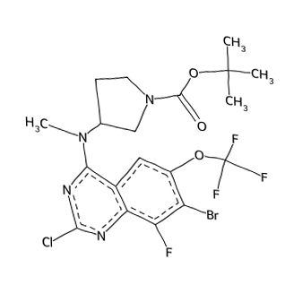 CN(c1nc(Cl)nc2c(F)c(Br)c(OC(F)(F)F)cc12)C1CCN(C(=O)OC(C)(C)C)C1